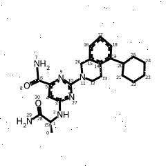 C[C@H](Nc1cc(C(N)=O)nc(N2CCc3c(cccc3C3CCCCC3)C2)n1)C(N)=O